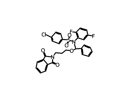 O=C1c2ccccc2C(=O)N1CCCOC(c1ccccc1)N(c1cc(F)ccc1F)S(=O)(=O)c1ccc(Cl)cc1